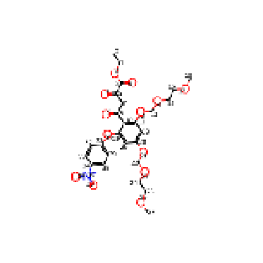 CCOC(=O)C(=O)CC(=O)c1c(OCOCCOC)cc(OCOCCOC)cc1Oc1ccc([N+](=O)[O-])cc1